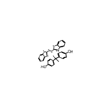 CC(C)(c1ccc(O)cc1)c1ccc(O)cc1.c1ccc2sc(SSc3nc4ccccc4s3)nc2c1